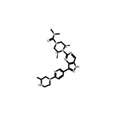 CC1CN(c2ccc(-c3n[nH]c4cnc(N5[C@H](C)CN(C(=O)N(C)C)C[C@@H]5C)nc34)cn2)CCN1